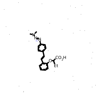 CCC(Oc1ccccc1C=Cc1ccc(/N=N/N(C)C)cc1)C(=O)O